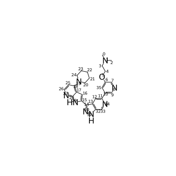 CN(C)CCOc1cncc(-c2cc3c(-c4cc5c(N6CCCCC6)ccnc5[nH]4)n[nH]c3cn2)c1